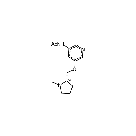 CC(=O)Nc1cncc(OC[C@@H]2CCCN2C)c1